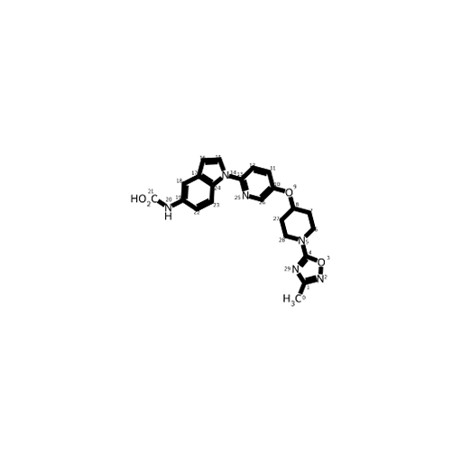 Cc1noc(N2CCC(Oc3ccc(-n4ccc5cc(NC(=O)O)ccc54)nc3)CC2)n1